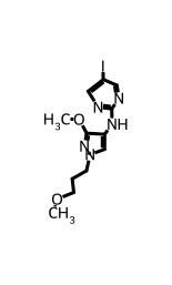 COCCCn1cc(Nc2ncc(I)cn2)c(OC)n1